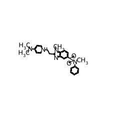 CN(C)c1cc[n+](CCc2nc3cc(S(=O)(=O)N(C)c4ccccc4)ccc3n2C)cc1